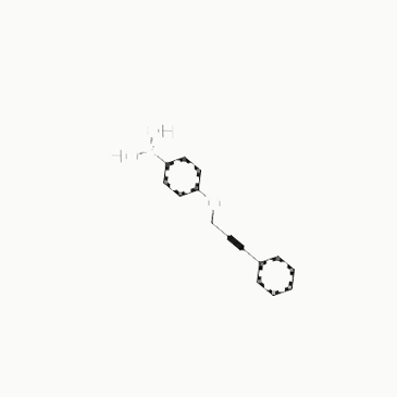 OB(O)c1ccc(OCC#Cc2ccccc2)cc1